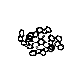 N#Cc1c(-n2c3ccccc3c3ccccc32)c(-n2c3cc(-c4cccc5ccc6ccccc6c45)ccc3c3ccc4c5ccccc5sc4c32)c(C#N)c(-n2c3ccccc3c3ccccc32)c1-n1c2cc(-c3cc4c(c5ccccc35)C=CCC4)ccc2c2ccc3c4ccccc4sc3c21